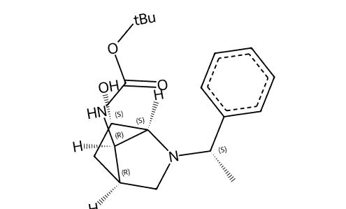 C[C@@H](c1ccccc1)N1C[C@H]2C[C@H](O)[C@@H]1[C@@H]2NC(=O)OC(C)(C)C